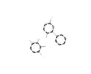 CC(C)(C)c1ccc(C(C)(C)C)c(C(C)(C)C)c1C(C)(C)C.O=C(O)c1ccc(O)cc1-c1ccccc1